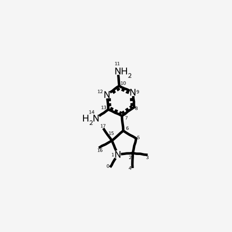 CN1C(C)(C)CC(c2cnc(N)nc2N)C1(C)C